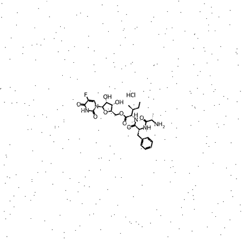 CC[C@H](C)[C@H](NC(=O)[C@H](Cc1ccccc1)NC(=O)[C@H](C)N)C(=O)OC[C@H]1O[C@@H](n2cc(F)c(=O)[nH]c2=O)[C@H](O)[C@@H]1O.Cl